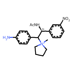 CC(=O)N[C@@H](c1cccc([N+](=O)[O-])c1)C(c1ccc(N)cc1)[N+]1(C)CCCC1